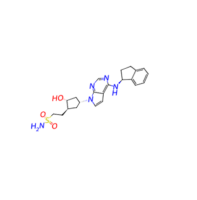 NS(=O)(=O)CC[C@@H]1C[C@@H](n2ccc3c(N[C@H]4CCc5ccccc54)ncnc32)C[C@H]1O